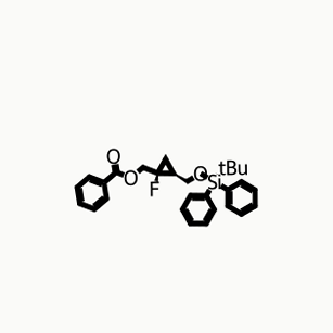 CC(C)(C)[Si](OC[C@@H]1C[C@@]1(F)COC(=O)c1ccccc1)(c1ccccc1)c1ccccc1